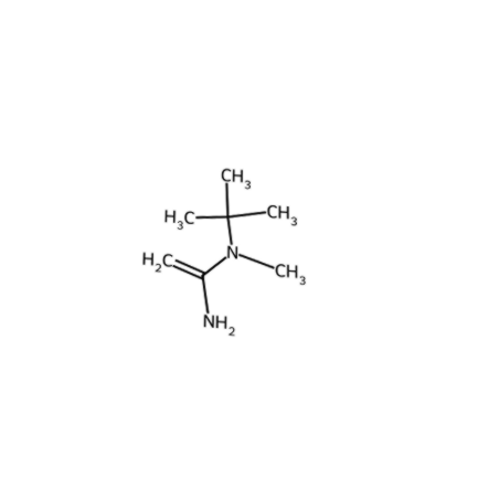 C=C(N)N(C)C(C)(C)C